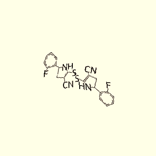 N#CC1=C(SSC2=C(C#N)CC(c3ccccc3F)N2)NC(c2ccccc2F)C1